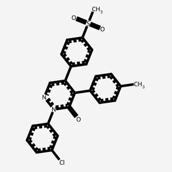 Cc1ccc(-c2c(-c3ccc(S(C)(=O)=O)cc3)cnn(-c3cccc(Cl)c3)c2=O)cc1